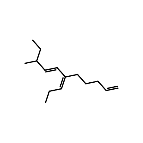 C=CCCCC(C=CC(C)CC)=CCC